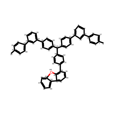 Cc1ccc(-c2cccc(-c3ccc(C(c4ccc(-c5cccc(-c6ccc(C)cc6)c5)cc4)c4ccc(-c5cccc6c5oc5ccccc56)cc4)cc3)c2)cc1